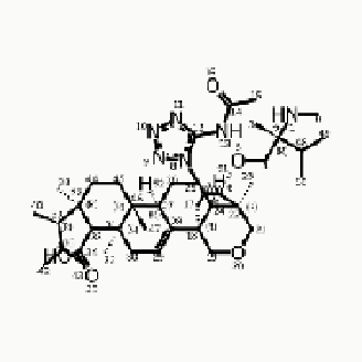 CN[C@@](C)(CO[C@H]1[C@H](n2nnnc2NC(C)=O)C[C@@]23COC[C@@]1(C)[C@@H]2CC[C@H]1C3=CC[C@@]2(C)C(C(=O)O)[C@@](C)([C@H](C)C(C)C)CC[C@]12C)C(C)C